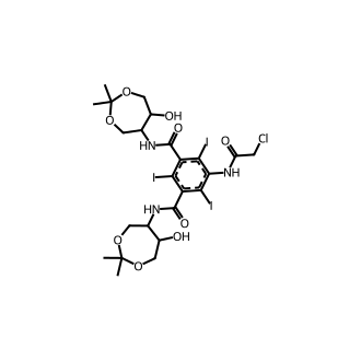 CC1(C)OCC(O)C(NC(=O)c2c(I)c(NC(=O)CCl)c(I)c(C(=O)NC3COC(C)(C)OCC3O)c2I)CO1